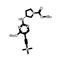 COc1nc(N[C@@H]2CCN(C(=O)OC(C)(C)C)C2)ncc1C#C[Si](C)(C)C